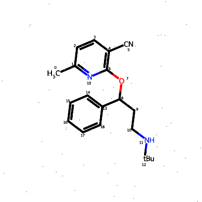 Cc1ccc(C#N)c(OC(CCNC(C)(C)C)c2ccccc2)n1